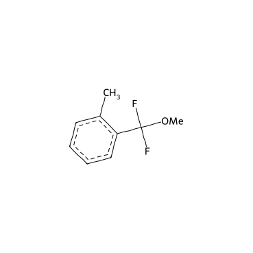 COC(F)(F)c1ccccc1C